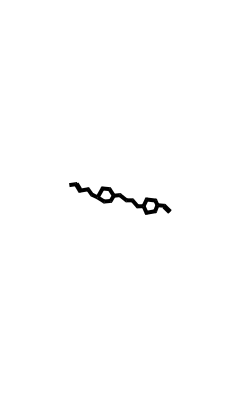 C=CC1CCC(CCCCC2CCC(CCC=CC)CC2)CC1